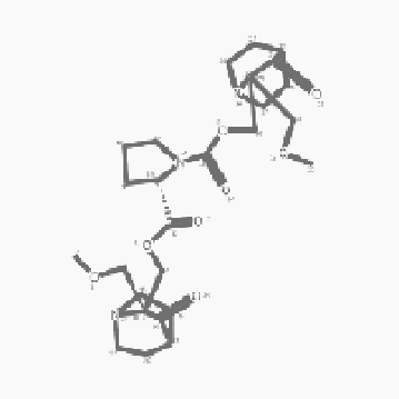 COC[C@@]1(COC(=O)[C@@H]2CCCN2C(=O)OC[C@]2(COC)C(=O)C3CCN2CC3)C(=O)C2CCN1CC2